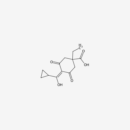 CCC1(C(=O)O)CC(=O)C(=C(O)C2CC2)C(=O)C1